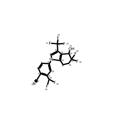 N#Cc1ccc(-n2cc(C(F)(F)F)c3c2CCC(F)(F)C3O)cc1C(F)F